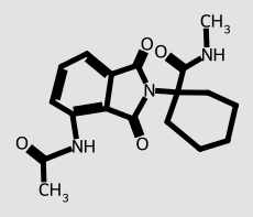 CNC(=O)C1(N2C(=O)c3cccc(NC(C)=O)c3C2=O)CCCCC1